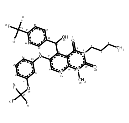 CCCCn1c(=O)c2c(C(O)c3ccc(C(F)(F)F)nc3)c(Oc3cccc(OC(F)(F)F)c3)cnc2n(C)c1=O